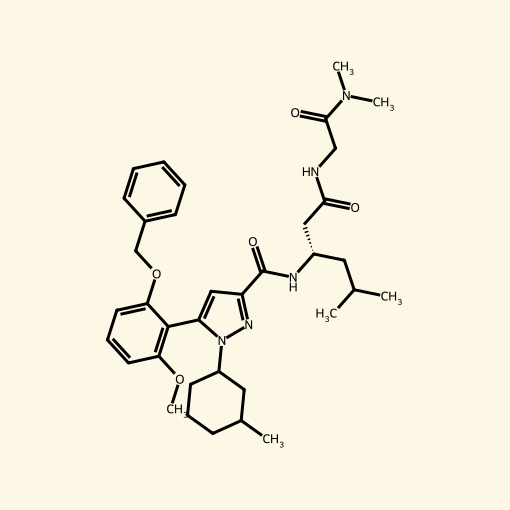 COc1cccc(OCc2ccccc2)c1-c1cc(C(=O)N[C@H](CC(=O)NCC(=O)N(C)C)CC(C)C)nn1C1CCCC(C)C1